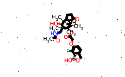 CC(=O)NC[C@]1(C)C[C@@H](OC(=O)COc2ccc3c(c2F)B(O)OC3)[C@]2(C)[C@H](C)CC[C@]3(CCC(=O)[C@H]32)[C@@H](C)[C@@H]1O